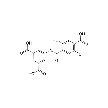 O=C(O)c1cc(NC(=O)c2cc(O)c(C(=O)O)cc2O)cc(C(=O)O)c1